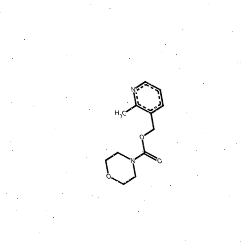 Cc1ncccc1COC(=O)N1CCOCC1